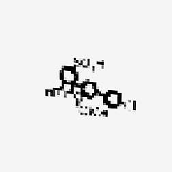 CCCCC(OCOC)C1(c2ccc(-c3ccc(Cl)cc3)cc2)C=C(S(=O)(=O)O)CC=C1C